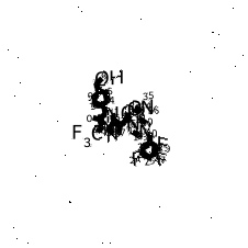 Cc1c(-c2ccc(CO)cc2)nc2c(C(=O)N3CCN(Cc4cc(F)cc(F)c4F)C[C@H]3C(=O)N(C)C)cnn2c1C(F)(F)F